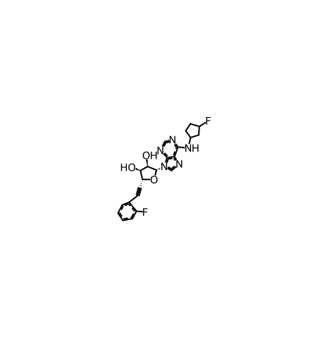 O[C@@H]1[C@H](O)[C@@H](C#Cc2ccccc2F)O[C@H]1n1cnc2c(NC3CCC(F)C3)ncnc21